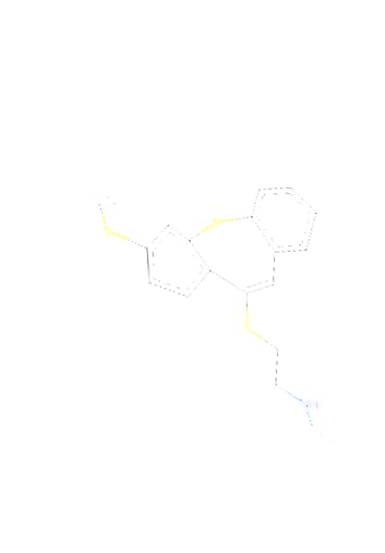 CNCCSC1=Cc2ccccc2Sc2cc(SC)ccc21